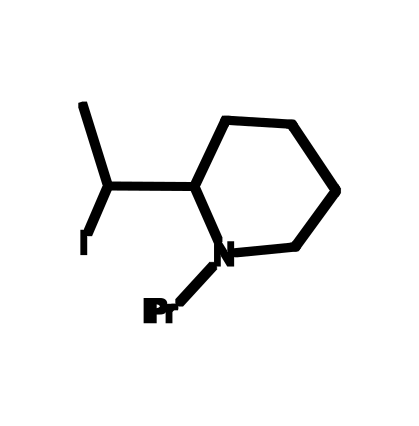 CC(I)C1CCCCN1C(C)C